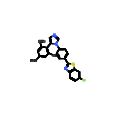 COc1cc(OC)c(-c2cncn2-c2ccc(-c3nc4ccc(F)cc4s3)cc2)c(OC)c1